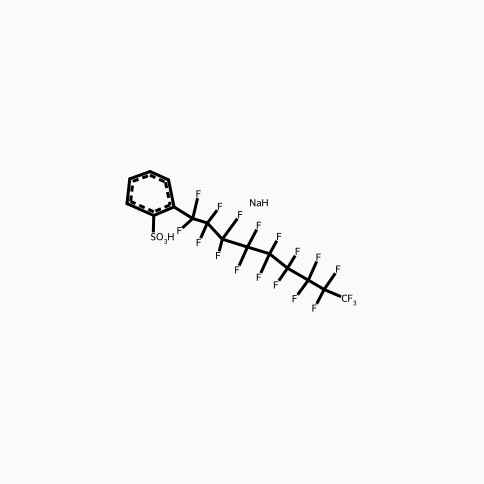 O=S(=O)(O)c1ccccc1C(F)(F)C(F)(F)C(F)(F)C(F)(F)C(F)(F)C(F)(F)C(F)(F)C(F)(F)C(F)(F)F.[NaH]